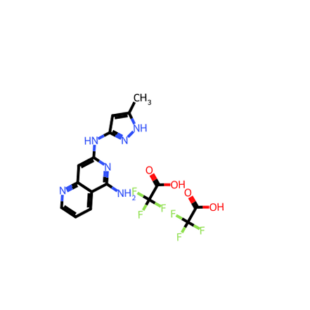 Cc1cc(Nc2cc3ncccc3c(N)n2)n[nH]1.O=C(O)C(F)(F)F.O=C(O)C(F)(F)F